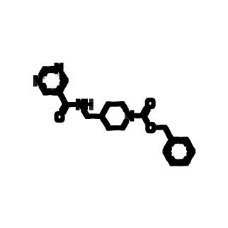 O=C(NCC1CCN(C(=O)OCc2ccccc2)CC1)c1cncnc1